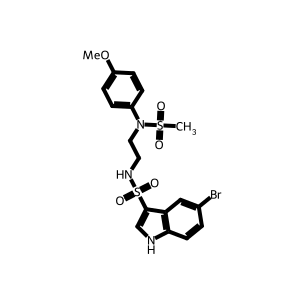 COc1ccc(N(CCNS(=O)(=O)c2c[nH]c3ccc(Br)cc23)S(C)(=O)=O)cc1